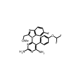 COCc1nc2ccc(F)cc2n1-c1nc(N)nc(N)c1-c1ccc(OC(F)F)cc1